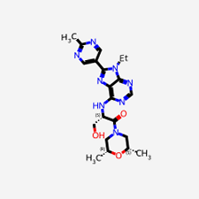 CCn1c(-c2cnc(C)nc2)nc2c(N[C@@H](CO)C(=O)N3C[C@@H](C)O[C@@H](C)C3)ncnc21